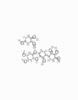 COc1cc(OC)c(OC)cc1OC.COc1ccc(OC)c(OC)c1.COc1ccccc1-c1ccc(OC)c(OC)c1OC